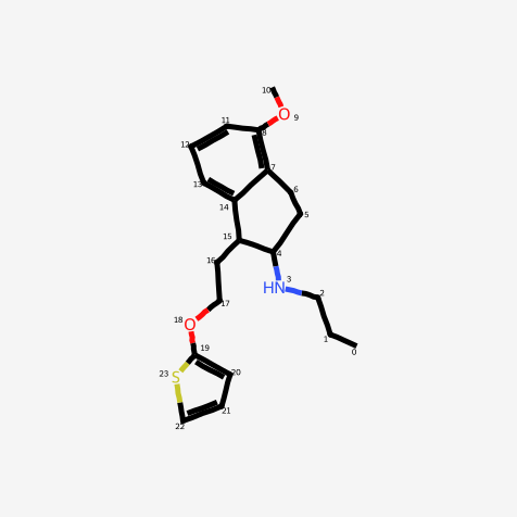 CCCNC1CCc2c(OC)cccc2C1CCOc1cccs1